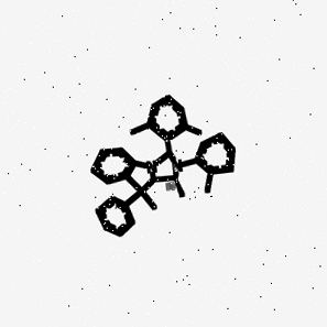 Cc1ccccc1N1C(c2c(C)cccc2C)N2c3ccccc3C(C)(c3ccccc3)C2[C@@H]1C